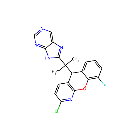 CC(C)(c1nc2cncnc2[nH]1)C1c2ccc(Cl)nc2Oc2c(F)cccc21